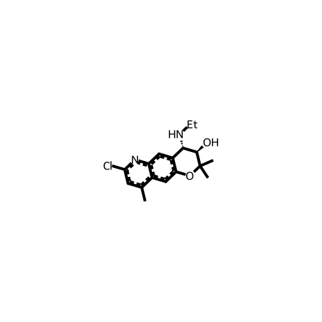 CCN[C@H]1c2cc3nc(Cl)cc(C)c3cc2OC(C)(C)[C@@H]1O